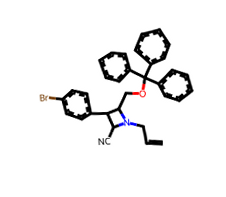 C=CCN1C(C#N)C(c2ccc(Br)cc2)C1COC(c1ccccc1)(c1ccccc1)c1ccccc1